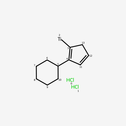 Cl.Cl.[Ti][C]1=C(C2CCCCC2)C=CC1